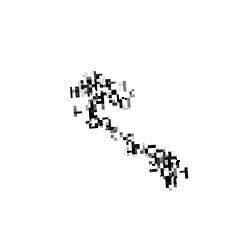 CC1=CSC2C1C(c1ccc(Cl)cc1)=N[C@@H](CC(=O)Nc1cccc(OCCOCCOCCNc3ccc4cnn(C5CCC(=O)NC5=O)c(=O)c4c3)c1)C1NN=C(C)N21